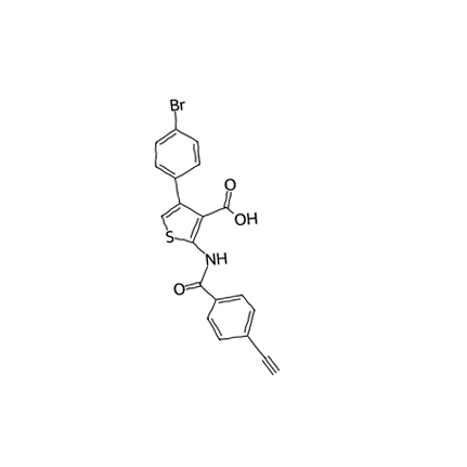 C#Cc1ccc(C(=O)Nc2scc(-c3ccc(Br)cc3)c2C(=O)O)cc1